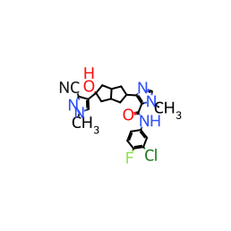 Cn1cc(C2(O)CC3CC(c4ncn(C)c4C(=O)Nc4ccc(F)c(Cl)c4)CC3C2)c(C#N)n1